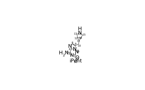 CCC[C@H](C)Oc1nc(N)c2ncc(CC3C4CNCC43)n2n1